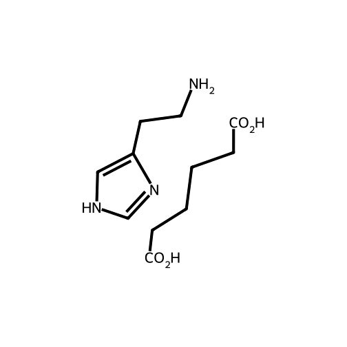 NCCc1c[nH]cn1.O=C(O)CCCCC(=O)O